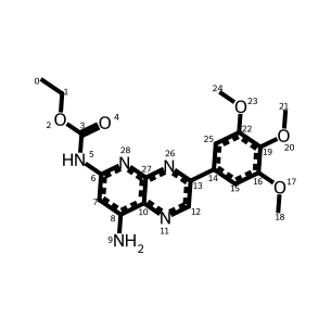 CCOC(=O)Nc1cc(N)c2ncc(-c3cc(OC)c(OC)c(OC)c3)nc2n1